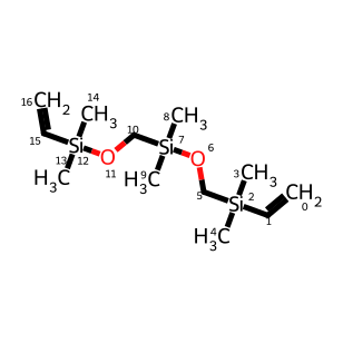 C=C[Si](C)(C)CO[Si](C)(C)CO[Si](C)(C)C=C